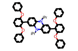 CC(C)N1c2ccc(-c3c(Oc4ccccc4)cccc3Oc3ccccc3)cc2N(C(C)C)c2ccc(-c3c(Oc4ccccc4)cccc3Oc3ccccc3)cc21